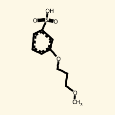 COCCCOc1cccc(S(=O)(=O)O)c1